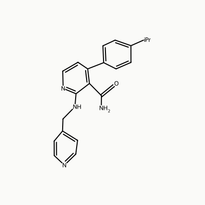 CC(C)c1ccc(-c2ccnc(NCc3ccncc3)c2C(N)=O)cc1